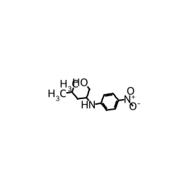 CC(C)CC(CO)Nc1ccc([N+](=O)[O-])cc1